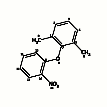 Cc1cccc(C)c1Oc1ccc[c]c1[N+](=O)[O-]